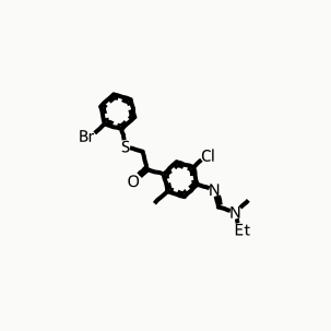 CCN(C)C=Nc1cc(C)c(C(=O)CSc2ccccc2Br)cc1Cl